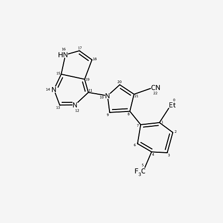 CCc1ccc(C(F)(F)F)cc1-c1cn(-c2ncnc3[nH]ccc23)cc1C#N